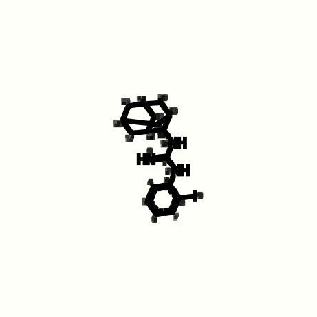 N=C(Nc1ccccc1I)NC1C2CC3CC(C2)CC1C3